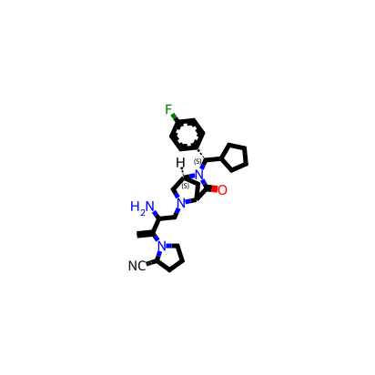 C=C(C(N)CN1C[C@@H]2CC1C(=O)N2[C@H](c1ccc(F)cc1)C1CCCC1)N1CCCC1C#N